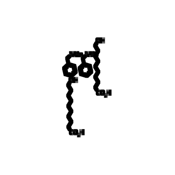 CNCc1ccccc1.CNCc1ccccc1.O=C(O)CCCCCCCCCO.O=C(O)CCCCCCCCCO